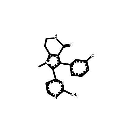 Cn1c2c(c(-c3cccc(Cl)c3)c1-c1ccnc(N)n1)C(=O)NCC2